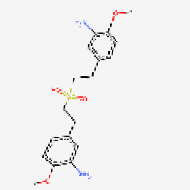 COc1ccc(CCS(=O)(=O)CCc2ccc(OC)c(N)c2)cc1N